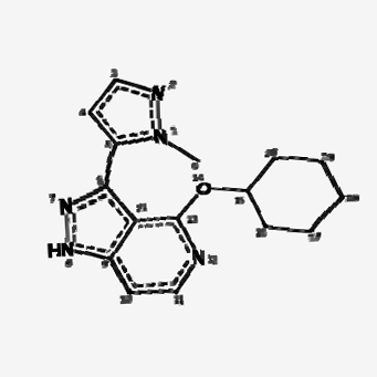 Cn1nccc1-c1n[nH]c2ccnc(OC3CCCCC3)c12